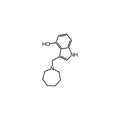 Oc1cccc2[nH]cc(CN3CCCCCC3)c12